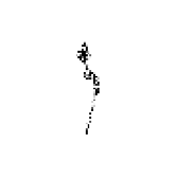 CCCCCCCCCCCCCCCCOC[C@H]1CO[C@H](COC(=O)CCCCCOS(=O)(=O)c2ccc(C)cc2)C1